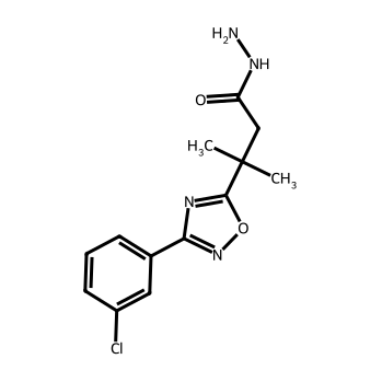 CC(C)(CC(=O)NN)c1nc(-c2cccc(Cl)c2)no1